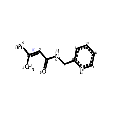 CCC/C(C)=C/C(=O)NCc1ccccn1